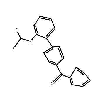 O=C(c1ccccc1)c1ccc(-c2ccccc2SC(F)F)cc1